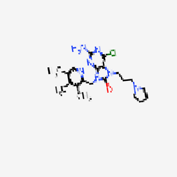 Cc1cnc(Cn2c(=O)n(CCCN3C=CCC3)c3c(Cl)nc(N)nc32)c(C)c1C